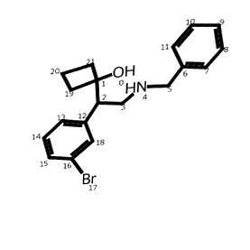 OC1(C(CNCc2ccccc2)c2cccc(Br)c2)CCC1